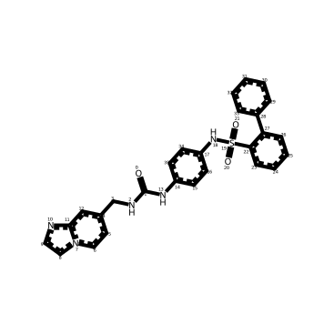 O=C(NCc1ccn2ccnc2c1)Nc1ccc(NS(=O)(=O)c2ccccc2-c2ccccc2)cc1